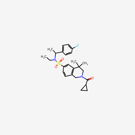 CCN(C(C)c1ccc(F)cc1)S(=O)(=O)c1ccc2c(c1)C(C)(C)CN(C(=O)C1CC1)C2